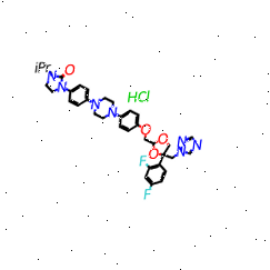 CC(C)N1CCN(c2ccc(N3CCN(c4ccc(OCC5OCC(Cn6cncn6)(c6ccc(F)cc6F)O5)cc4)CC3)cc2)C1=O.Cl